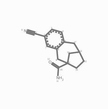 N#Cc1ccc2c(c1)CC1(C(N)=O)[CH]C(CC1)C2